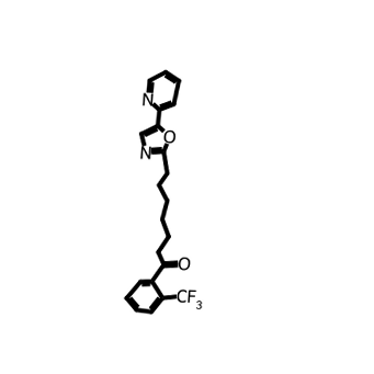 O=C(CCCCCCc1ncc(-c2ccccn2)o1)c1ccccc1C(F)(F)F